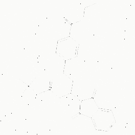 CCOC(=O)c1ccc(CCC(NC(=O)OC(C)(C)C)N2C(=O)c3ccccc3C2=O)cc1